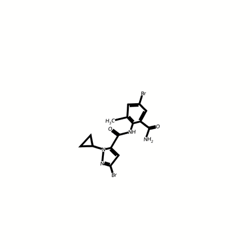 Cc1cc(Br)cc(C(N)=O)c1NC(=O)c1cc(Br)nn1C1CC1